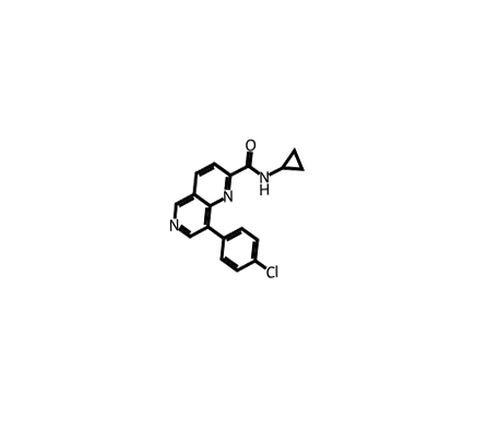 O=C(NC1CC1)c1ccc2cncc(-c3ccc(Cl)cc3)c2n1